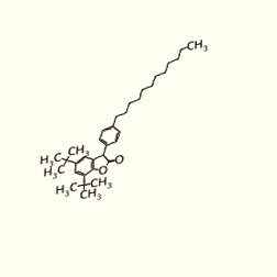 CCCCCCCCCCCCc1ccc(C2C(=O)Oc3c2cc(C(C)(C)C)cc3C(C)(C)C)cc1